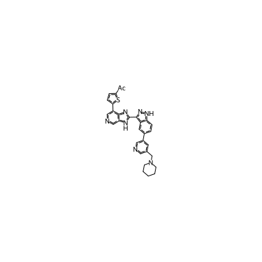 CC(=O)c1ccc(-c2cncc3[nH]c(-c4n[nH]c5ccc(-c6cncc(CN7CCCCC7)c6)cc45)nc23)s1